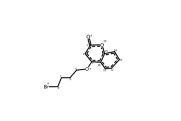 O=c1cc(OCCCCBr)c2ccccc2o1